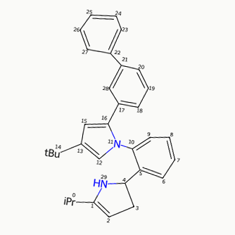 CC(C)C1=CCC(c2ccccc2-n2cc(C(C)(C)C)cc2-c2cccc(-c3ccccc3)c2)N1